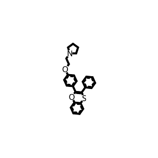 c1ccc(C2=C(c3ccc(OCCN4CCCC4)cc3)Oc3ccccc3S2)cc1